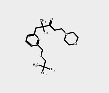 CC(C)(C)COCc1cccc(CC(C)(C)C(=O)CCN2CCOCC2)n1